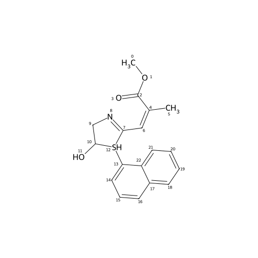 COC(=O)C(C)=CC1=NCC(O)[SH]1c1cccc2ccccc12